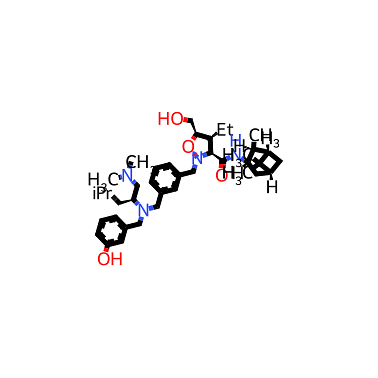 CC[C@@H]1[C@H](CO)ON(Cc2cccc(CN(Cc3cccc(O)c3)[C@@H](CC(C)C)CN(C)C)c2)[C@@H]1C(=O)N[C@H]1C[C@H]2C[C@@H]([C@@H]1C)C2(C)C